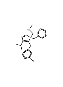 CNC[N+]1(Cc2cccnc2)C=NC(C(C)C)=C1Sc1cccc(F)c1